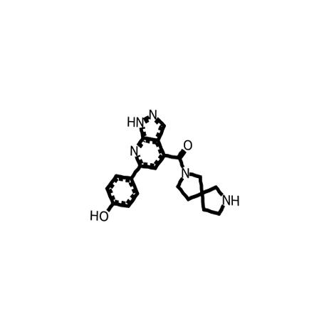 O=C(c1cc(-c2ccc(O)cc2)nc2[nH]ncc12)N1CCC2(CCNC2)C1